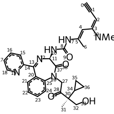 C#C/C=C(\C=C(/C)NC(=O)N[C@@H]1N=C(c2ccccn2)c2ccccc2N(CC(=O)[C@](C)(CO)C2CC2)C1=O)NC